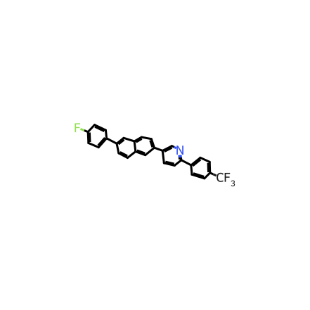 Fc1ccc(-c2ccc3cc(-c4ccc(-c5ccc(C(F)(F)F)cc5)nc4)ccc3c2)cc1